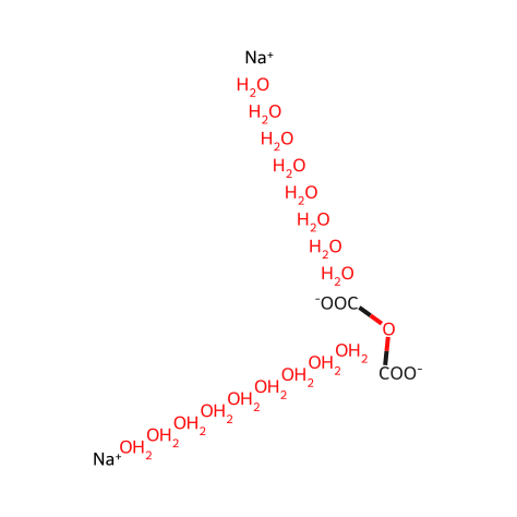 O.O.O.O.O.O.O.O.O.O.O.O.O.O.O.O.O.O=C([O-])OC(=O)[O-].[Na+].[Na+]